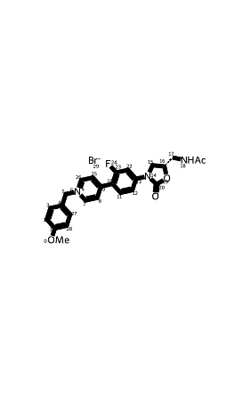 COc1ccc(C[n+]2ccc(-c3ccc(N4C[C@H](CNC(C)=O)OC4=O)cc3F)cc2)cc1.[Br-]